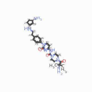 CC(C)(N)C(=O)N1CCN(C(=O)Nc2ccn(-c3ccc(CCN[C@@H]4CC[C@H](N)C4)cc3)c(=O)n2)CC1